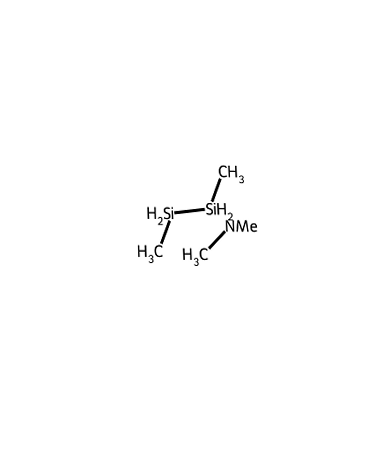 CNC.C[SiH2][SiH2]C